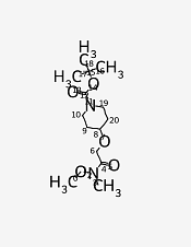 CON(C)C(=O)COC1CCN(C(=O)OC(C)(C)C)CC1